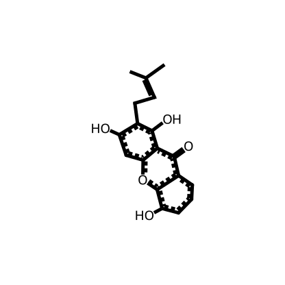 CC(C)=CCc1c(O)cc2oc3c(O)cccc3c(=O)c2c1O